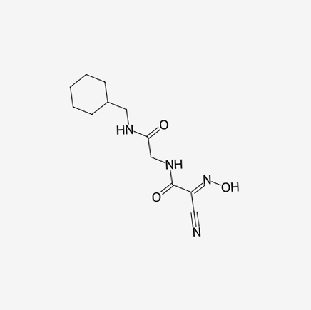 N#CC(=NO)C(=O)NCC(=O)NCC1CCCCC1